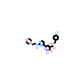 O=C(NCc1ccc(Cl)cc1)c1cc(-c2ccnc(NCCN3CCOCC3)n2)n[nH]c1=O